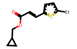 CCc1ccc(C=CC(=O)OCC2CC2)s1